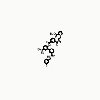 CCN(CC)c1ccc(NC(=O)c2cccc(C(=O)N(C)CCN3CCCC3C(=O)OCC(C)C)c2)c(-c2cc(C(=O)NCc3cccc(C(F)(F)F)c3)ccn2)c1